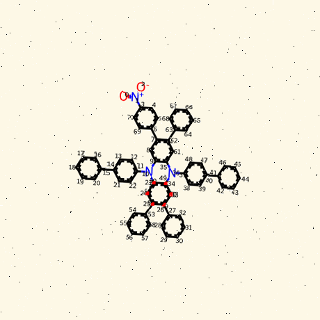 O=[N+]([O-])c1ccc(-c2cc(N(c3ccc(-c4ccccc4)cc3)c3ccc(-c4ccccc4)cc3)c(N(c3ccc(-c4ccccc4)cc3)c3ccc(-c4ccccc4)cc3)cc2-c2ccccc2)cc1